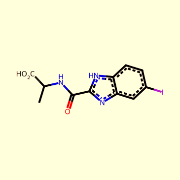 CC(NC(=O)c1nc2cc(I)ccc2[nH]1)C(=O)O